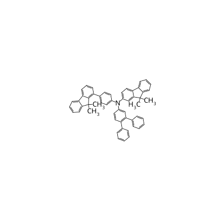 CC1(C)c2ccccc2-c2ccc(N(c3ccc(-c4cccc5c4C(C)(C)c4ccccc4-5)cc3)c3ccc(-c4ccccc4)c(-c4ccccc4)c3)cc21